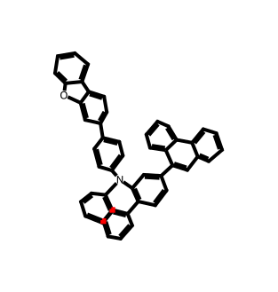 c1ccc(-c2ccc(-c3cc4ccccc4c4ccccc34)cc2N(c2ccccc2)c2ccc(-c3ccc4c(c3)oc3ccccc34)cc2)cc1